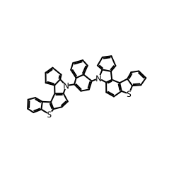 c1ccc2c(c1)sc1ccc3c(c4ccccc4n3-c3ccc(-n4c5ccccc5c5c6c(ccc54)sc4ccccc46)c4ccccc34)c12